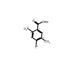 COC(=O)c1cc(C)c(Br)cc1[N+](=O)[O-]